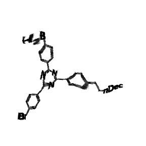 Bc1ccc(-c2nc(-c3ccc(Br)cc3)nc(-c3ccc(CCCCCCCCCCCC)cc3)n2)cc1